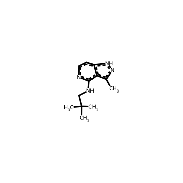 Cc1n[nH]c2ccnc(NCC(C)(C)C)c12